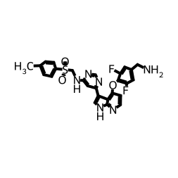 Cc1ccc(S(=O)(=O)CNc2cc(-c3c[nH]c4nccc(Oc5c(F)cc(CN)cc5F)c34)ncn2)cc1